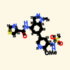 COc1ncc(-c2cc(NC(=O)c3cscn3)c3cnn(C)c3c2)cc1NS(C)(=O)=O